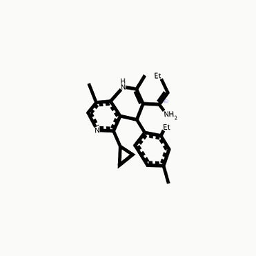 CC/C=C(/N)C1=C(C)Nc2c(C)cnc(C3CC3)c2C1c1ccc(C)cc1CC